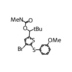 CNC(=O)OC(c1cc(Br)c(Sc2cccc(OC)c2)s1)C(C)(C)C